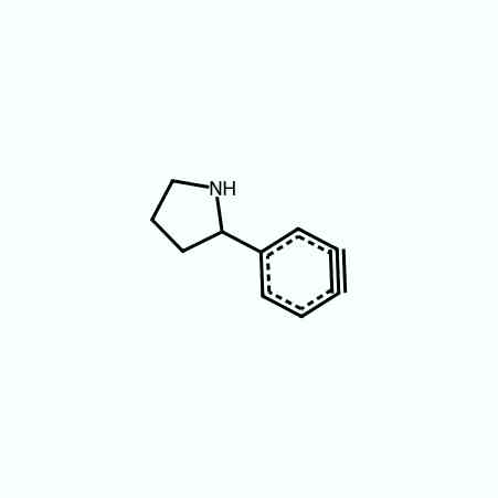 c1ccc(C2CCCN2)cc#1